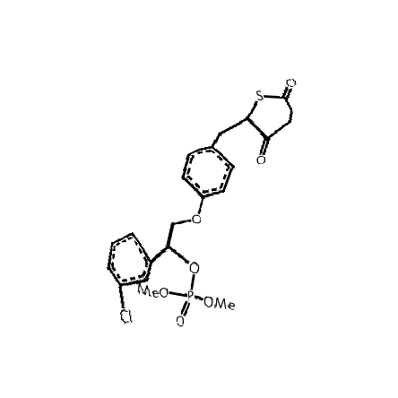 COP(=O)(OC)OC(COc1ccc(CC2SC(=O)CC2=O)cc1)c1cccc(Cl)c1